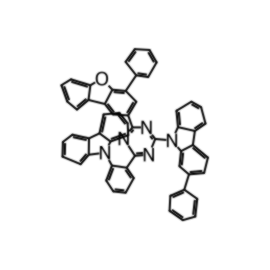 c1ccc(-c2ccc3c4ccccc4n(-c4nc(-c5cc(-c6ccccc6)c6oc7ccccc7c6c5)nc(-c5ccccc5-n5c6ccccc6c6ccccc65)n4)c3c2)cc1